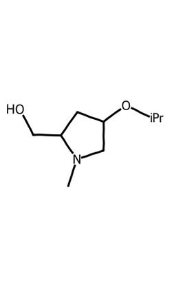 CC(C)OC1CC(CO)N(C)C1